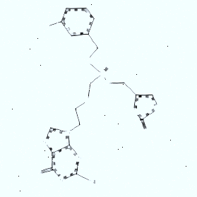 Nc1nc2c(ncn2CCOCP(=O)(OCc2cccc(F)c2)OCc2coc(=O)o2)c(=O)[nH]1